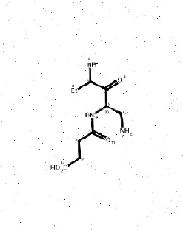 CCCC(CC)C(=O)[C@@H](CN)NC(=O)CCC(=O)O